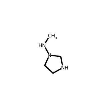 CNN1CCNC1